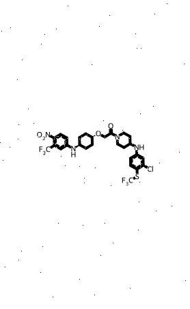 O=C(CO[C@H]1CC[C@H](Nc2ccc([N+](=O)[O-])c(C(F)(F)F)c2)CC1)N1CCC(Nc2ccc(SC(F)(F)F)c(Cl)c2)CC1